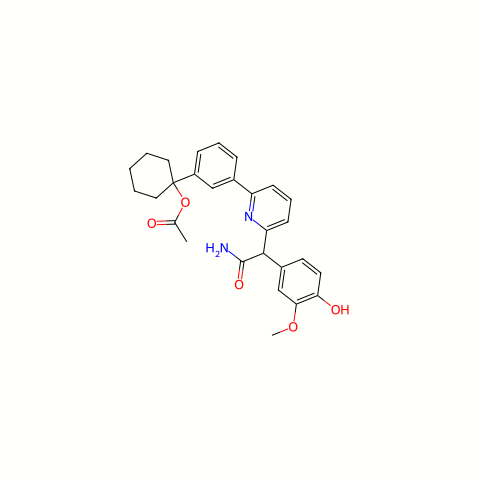 COc1cc(C(C(N)=O)c2cccc(-c3cccc(C4(OC(C)=O)CCCCC4)c3)n2)ccc1O